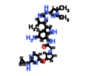 Cc1cnc(Nc2cc(C)n(C)n2)nc1-c1c[nH]c2c(NC(=O)CN3CCC(Oc4ccnc(NC5CC5)n4)C3)cc(N)cc12